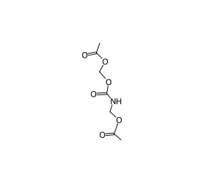 CC(=O)OCNC(=O)OCOC(C)=O